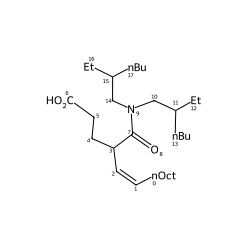 CCCCCCCC/C=C\C(CCC(=O)O)C(=O)N(CC(CC)CCCC)CC(CC)CCCC